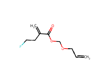 C=CCOCOC(=O)C(=C)CCF